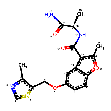 Cc1ncsc1COc1ccc2oc(C)c(C(=O)N[C@H](C)C(N)=O)c2c1